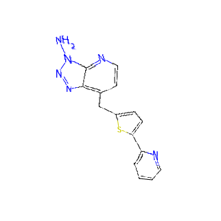 Nn1nnc2c(Cc3ccc(-c4ccccn4)s3)ccnc21